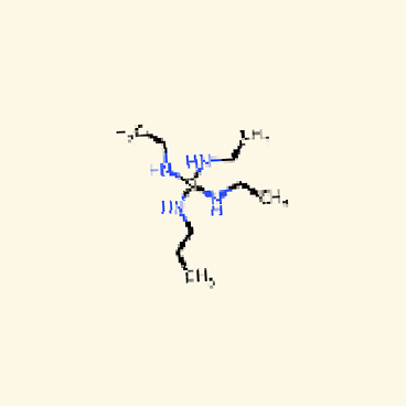 CCCN[Si](NCC)(NCC)NCC